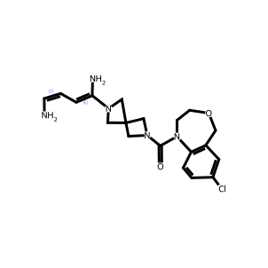 N/C=C\C=C(/N)N1CC2(CN(C(=O)N3CCOCc4cc(Cl)ccc43)C2)C1